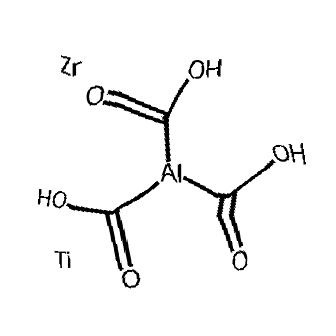 O=[C](O)[Al]([C](=O)O)[C](=O)O.[Ti].[Zr]